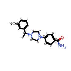 CC(c1cccc(C#N)c1)N1CCN(c2ccc(C(N)=O)cc2)CC1